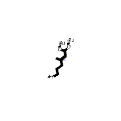 CCC(C)OC(/C=C(\C)CCCC(C)C)OC(C)CC